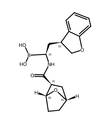 O=C(N[C@H](C[C@@H]1COc2ccccc21)B(O)O)[C@H]1C[C@@H]2CC[C@H]1O2